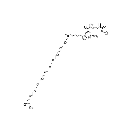 CCCN(CCCNC(=O)OC1CCC1)C(=O)C1=Cc2c(cnn2CCCCCN(C)CCOCCOCCOCCOCCOCCOCCOCCOCCOCCOCCC(=O)OC(C)(C)C)N=C(N)C1